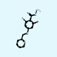 COC(=O)c1c(F)cc(OCc2ccccn2)cc1F